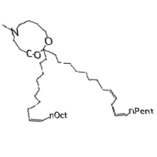 CCCCC/C=C\C/C=C\CCCCCCCCC1(CCCCCCCC/C=C\CCCCCCCC)OCCCCN(C)CCCO1